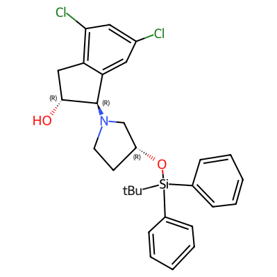 CC(C)(C)[Si](O[C@@H]1CCN([C@@H]2c3cc(Cl)cc(Cl)c3C[C@H]2O)C1)(c1ccccc1)c1ccccc1